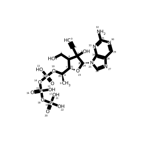 C#CC1(O)C(CO)[C@@H]([C@@H](C)OP(=O)(O)OP(=O)(O)OP(=O)(O)O)O[C@H]1n1cnc2cnc(N)nc21